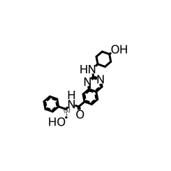 O=C(N[C@H](CO)c1ccccc1)c1ccc2cnc(NC3CCC(O)CC3)nc2c1